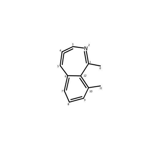 CC1=NC=C=Cc2cccc(C)c21